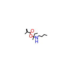 C=C(C)C(=O)OC(C)(CC)NCCCC